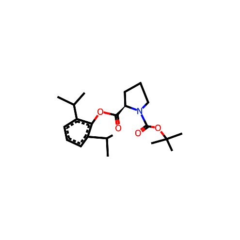 CC(C)c1cccc(C(C)C)c1OC(=O)[C@H]1CCCN1C(=O)OC(C)(C)C